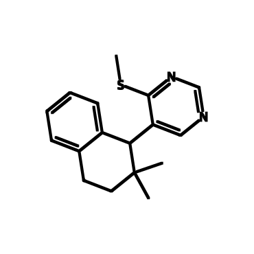 CSc1ncncc1C1c2ccccc2CCC1(C)C